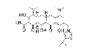 CN(C)c1cc(Cn2cnc(C(C)(C)C)c2)c(O)c2c1C[C@H]1C[C@H]3[C@H](N(C)C)C(O)=C(C(N)=O)C(=O)[C@@]3(O)C(O)=C1C2=O